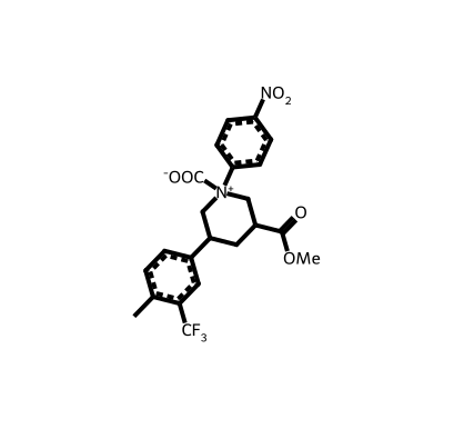 COC(=O)C1CC(c2ccc(C)c(C(F)(F)F)c2)C[N+](C(=O)[O-])(c2ccc([N+](=O)[O-])cc2)C1